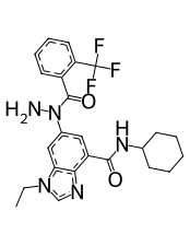 CCn1cnc2c(C(=O)NC3CCCCC3)cc(N(N)C(=O)c3ccccc3C(F)(F)F)cc21